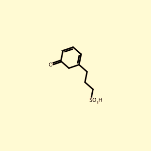 O=C1[C]=CC=C(CCCS(=O)(=O)O)C1